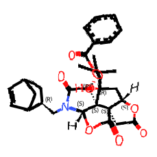 CC(C)(C)[C@]1(O)C[C@@H]2OC(=O)C[C@@]23C(=O)O[C@@H]2N(C[C@@H]4CC5C=CC4C5)C(=O)[C@H](OC(=O)c4ccccc4)[C@]213